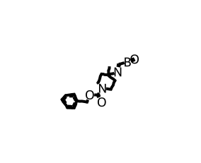 CC1(/N=C/B=O)CCN(C(=O)OCc2ccccc2)CC1